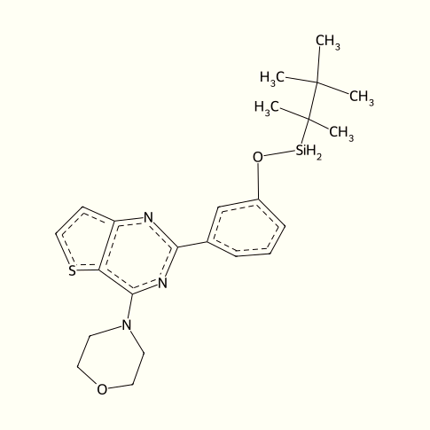 CC(C)(C)C(C)(C)[SiH2]Oc1cccc(-c2nc(N3CCOCC3)c3sccc3n2)c1